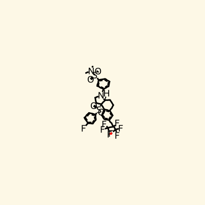 CN(C)S(=O)(=O)c1cccc(N2CC[C@@]3(S(=O)(=O)c4ccc(F)cc4)c4ccc(C(F)(C(F)(F)F)C(F)(F)F)cc4CC[C@@H]23)c1